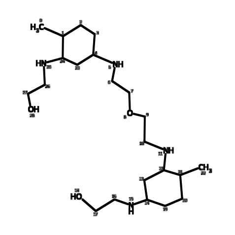 CC1CCC(NCCOCCNC2CC(NCCO)CCC2C)CC1NCCO